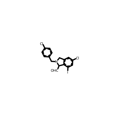 O=CC1c2c(I)cc(Cl)cc2CN1Cc1ccc(Cl)cc1